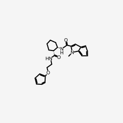 Cn1c(C(=O)N[C@H]2CCCC[C@H]2C(=O)NCCOc2ccccc2)cc2ccccc21